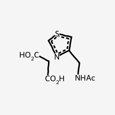 CC(=O)NCc1cscn1.O=C(O)CC(=O)O